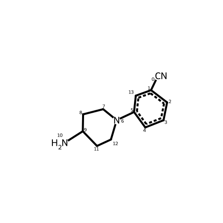 N#Cc1cccc(N2CCC(N)CC2)c1